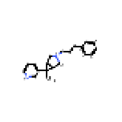 CC1(c2cccnc2)C2CN(CCCc3ccccc3)CC21